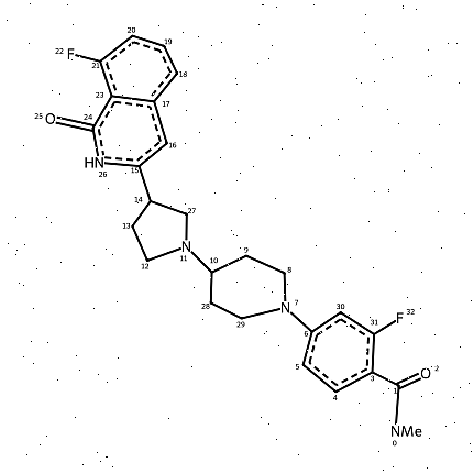 CNC(=O)c1ccc(N2CCC(N3CCC(c4cc5cccc(F)c5c(=O)[nH]4)C3)CC2)cc1F